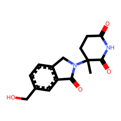 CC1(N2Cc3ccc(CO)cc3C2=O)CCC(=O)NC1=O